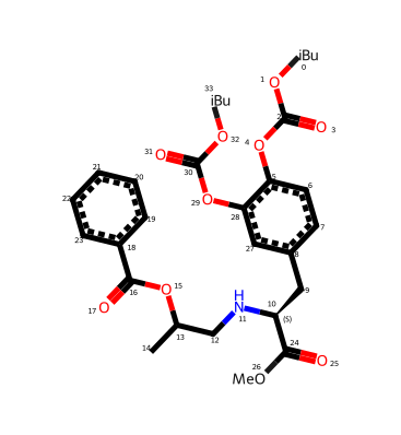 CCC(C)OC(=O)Oc1ccc(C[C@H](NCC(C)OC(=O)c2ccccc2)C(=O)OC)cc1OC(=O)OC(C)CC